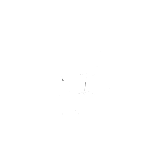 Fc1[c]c(F)c(C(F)(F)C(F)(F)C(F)(F)F)c(F)c1F